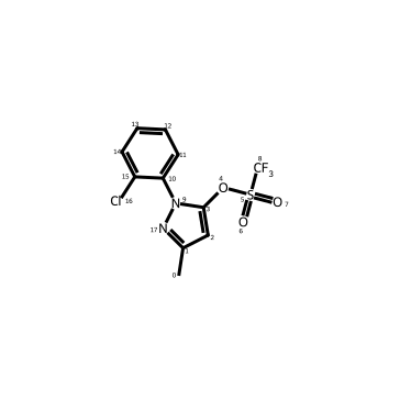 Cc1cc(OS(=O)(=O)C(F)(F)F)n(-c2ccccc2Cl)n1